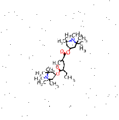 CCC(CC(C)C(=O)OC1CC(C)(C)N(C)C(C)(C)C1)C(=O)OC1CC(C)(C)N(C)C(C)(C)C1